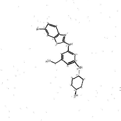 CC(=O)OCc1cc(Nc2nc3ccc(Br)cc3s2)nc(N[C@H]2CC[C@H](O)CC2)c1